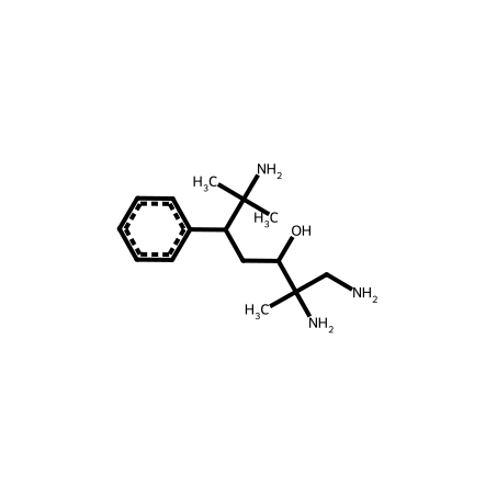 CC(C)(N)C(CC(O)C(C)(N)CN)c1ccccc1